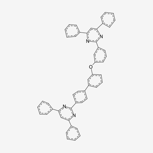 c1ccc(-c2cc(-c3ccccc3)nc(-c3ccc(-c4cccc(Oc5cccc(-c6nc(-c7ccccc7)cc(-c7ccccc7)n6)c5)c4)cc3)n2)cc1